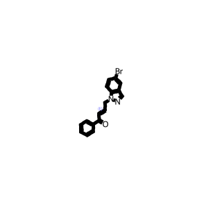 O=C(/C=C/Cn1ncc2cc(Br)ccc21)c1ccccc1